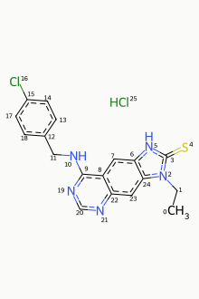 CCn1c(=S)[nH]c2cc3c(NCc4ccc(Cl)cc4)ncnc3cc21.Cl